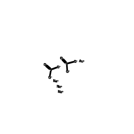 O=S([O-])[O-].O=S([O-])[O-].[Au+].[Na+].[Na+].[Na+]